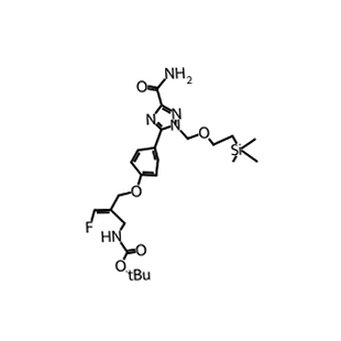 CC(C)(C)OC(=O)NC/C(=C\F)COc1ccc(-c2nc(C(N)=O)nn2COCC[Si](C)(C)C)cc1